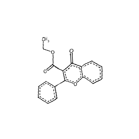 CCOC(=O)c1c(-c2ccccc2)oc2ccccc2c1=O